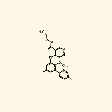 CCONC(=O)c1cnccc1Nc1cc(F)cc(-c2ncc(F)cn2)c1OC